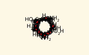 CCCC[C@H]1C(=O)N(C)[C@@H](CCCC)C(=O)N[C@@H](CC(C)C)C(=O)N[C@H](C(=O)NCC(N)=O)CSCC(=O)N[C@@H](Cc2ccc(O)cc2)C(=O)N(C)[C@@H](C)C(=O)N[C@@H](CC(=O)O)C(=O)N2CCC[C@H]2C(=O)N[C@@H](CN)C(=O)N[C@@H](CCC(N)=O)C(=O)N2C[C@H](O)C[C@H]2C(=O)N[C@@H](Cc2c[nH]c3ccccc23)C(=O)N[C@@H](CCN)C(=O)N[C@@H](Cc2cn(CC(=O)O)c3ccccc23)C(=O)N1C